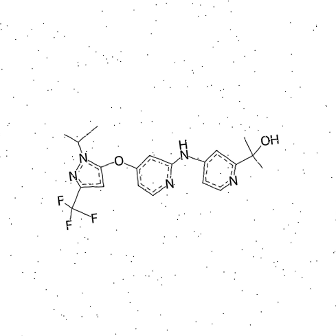 CC(C)n1nc(C(F)(F)F)cc1Oc1ccnc(Nc2ccnc(C(C)(C)O)c2)c1